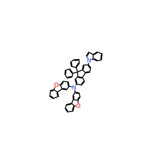 c1ccc(C2(c3ccccc3)c3cc(N(c4ccc5oc6ccccc6c5c4)c4ccc5oc6ccccc6c5c4)ccc3-c3ccc(-n4ccc5ccccc54)cc32)cc1